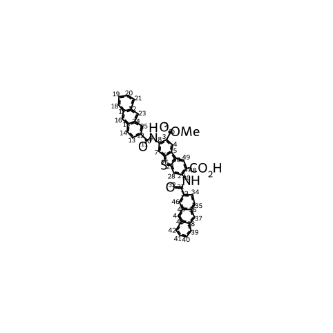 COC(=O)c1cc2c(cc1NC(=O)c1ccc3cc4ccccc4cc3c1)sc1cc(NC(=O)c3ccc4cc5ccccc5cc4c3)c(C(=O)O)cc12